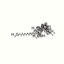 CCCCCCCCCCCCCCCCCN(C[C@H]1O[C@@H](n2cnc3c(=O)[nH]c(NC(=O)C(C)C)nc32)C(OC)C1O)C(C)O